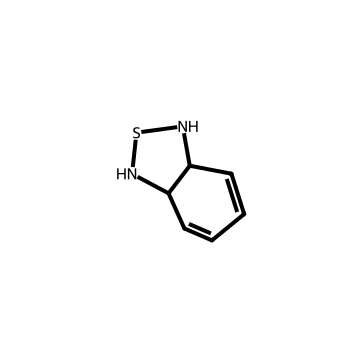 C1=CC2NSNC2C=C1